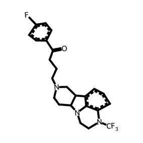 O=C(CCCN1CCC2C(C1)c1cccc3c1N2CCN3C(F)(F)F)c1ccc(F)cc1